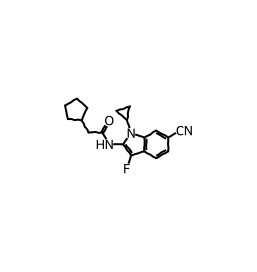 N#Cc1ccc2c(F)c(NC(=O)CC3CCCC3)n(C3CC3)c2c1